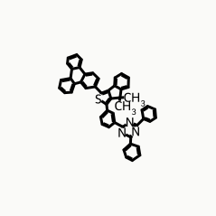 CC1(C)c2ccccc2-c2c(-c3ccc4c5ccccc5c5ccccc5c4c3)sc(-c3cccc(-c4nc(-c5ccccc5)nc(-c5ccccc5)n4)c3)c21